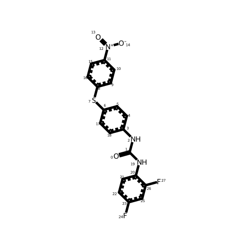 O=C(Nc1ccc(Sc2ccc([N+](=O)[O-])cc2)cc1)Nc1ccc(F)cc1F